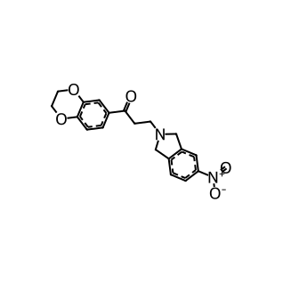 O=C(CCN1Cc2ccc([N+](=O)[O-])cc2C1)c1ccc2c(c1)OCCO2